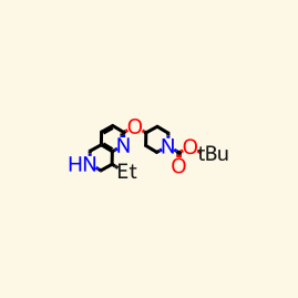 CCC1CNCc2ccc(OC3CCN(C(=O)OC(C)(C)C)CC3)nc21